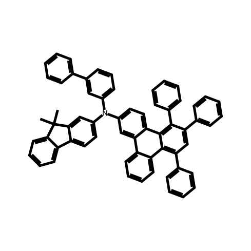 CC1(C)c2ccccc2-c2ccc(N(c3cccc(-c4ccccc4)c3)c3ccc4c(c3)c3ccccc3c3c(-c5ccccc5)cc(-c5ccccc5)c(-c5ccccc5)c43)cc21